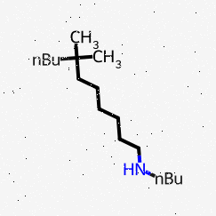 CCCCNCCCCCCC(C)(C)CCCC